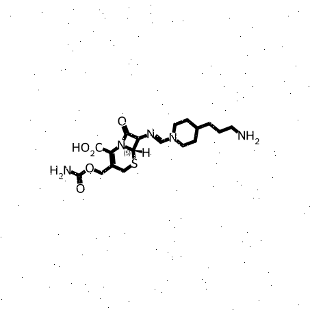 NCCCC1CCN(C=NC2C(=O)N3C(C(=O)O)=C(COC(N)=O)CS[C@@H]23)CC1